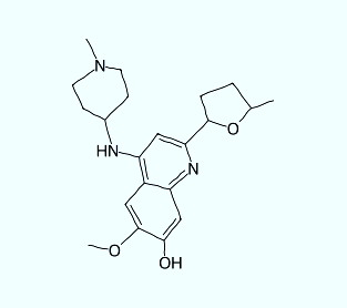 COc1cc2c(NC3CCN(C)CC3)cc(C3CCC(C)O3)nc2cc1O